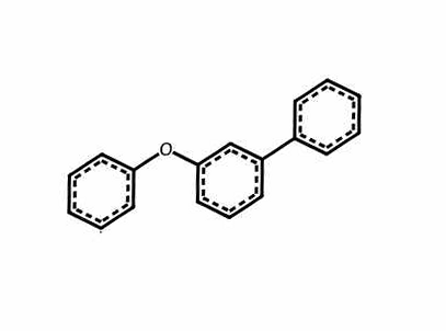 [c]1cccc(Oc2cccc(-c3ccccc3)c2)c1